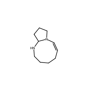 C1=CN2CCCC2NCCCC1